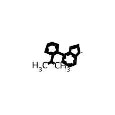 CC(C)c1ccccc1-c1cccc2c1C=C[CH]2